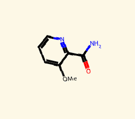 COc1cccnc1C(N)=O